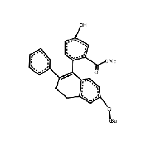 COC(=O)c1cc(O)ccc1C1=C(c2ccccc2)CCc2cc(OC(C)(C)C)ccc21